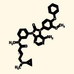 COc1cc(-n2c(=O)n(-c3cccc(N(C)C(=O)/C=C/CN(C)C4CC4)c3)c3ncnc(N)c32)ccc1Oc1ccccc1